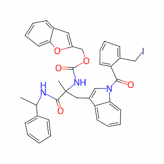 CC(NC(=O)C(C)(Cc1cn(C(=O)c2ccccc2CI)c2ccccc12)NC(=O)OCc1cc2ccccc2o1)c1ccccc1